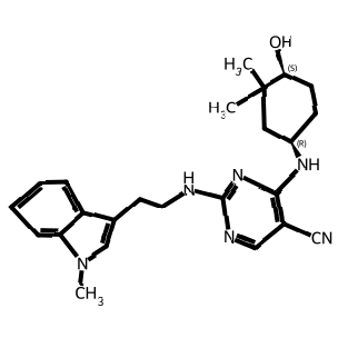 Cn1cc(CCNc2ncc(C#N)c(N[C@@H]3CC[C@H](O)C(C)(C)C3)n2)c2ccccc21